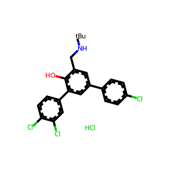 CC(C)(C)NCc1cc(-c2ccc(Cl)cc2)cc(-c2ccc(Cl)c(Cl)c2)c1O.Cl